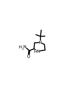 CC(C)(C)N1CCNC(C(N)=O)C1